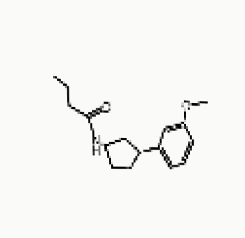 CCCC(=O)N[C@H]1CC[C@H](c2cccc(OC)c2)C1